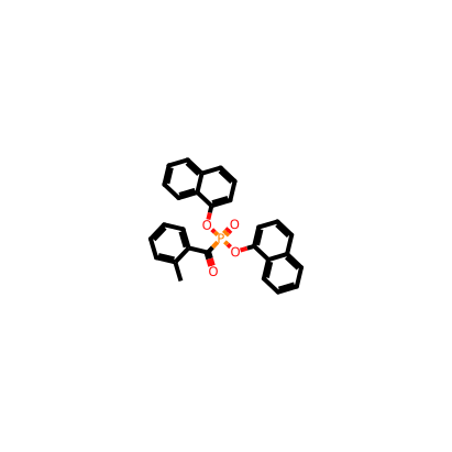 Cc1ccccc1C(=O)P(=O)(Oc1cccc2ccccc12)Oc1cccc2ccccc12